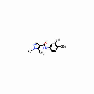 Cc1c(C(=O)Nc2ccc(OCC(C)C)c(C#N)c2)cnn1C